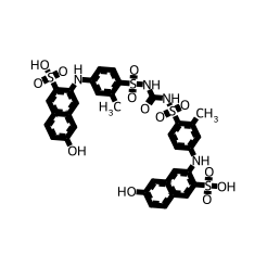 Cc1cc(Nc2cc3cc(O)ccc3cc2S(=O)(=O)O)ccc1S(=O)(=O)NC(=O)NS(=O)(=O)c1ccc(Nc2cc3cc(O)ccc3cc2S(=O)(=O)O)cc1C